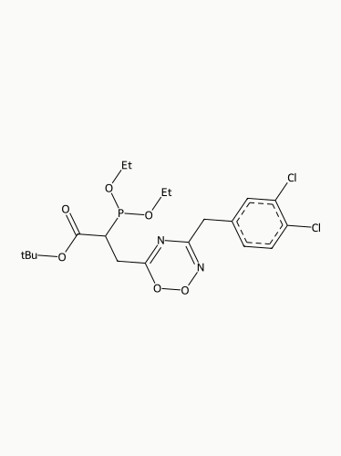 CCOP(OCC)C(CC1=NC(Cc2ccc(Cl)c(Cl)c2)=NOO1)C(=O)OC(C)(C)C